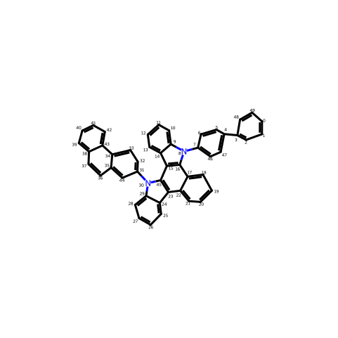 c1ccc(-c2ccc(-n3c4ccccc4c4c3c3ccccc3c3c5ccccc5n(-c5ccc6c(ccc7ccccc76)c5)c34)cc2)cc1